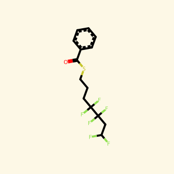 O=C(SCCCC(F)(F)C(F)(F)CC(F)F)c1ccccc1